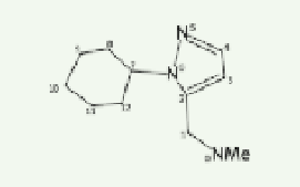 CNCc1ccnn1C1CCCCC1